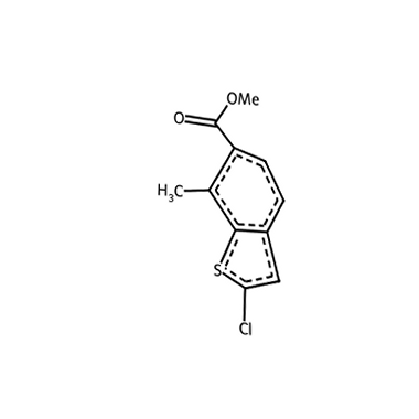 COC(=O)c1ccc2cc(Cl)sc2c1C